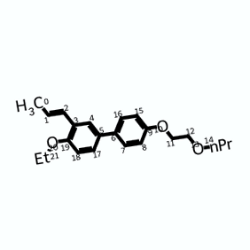 C/C=C/c1cc(-c2ccc(OCCOCCC)cc2)ccc1OCC